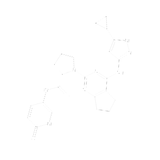 O=C(Nc1ccc(=O)[nH]c1)[C@@H]1CCCN1c1nc2c(c(Nc3cc(C4CC4)[nH]n3)n1)CCC2